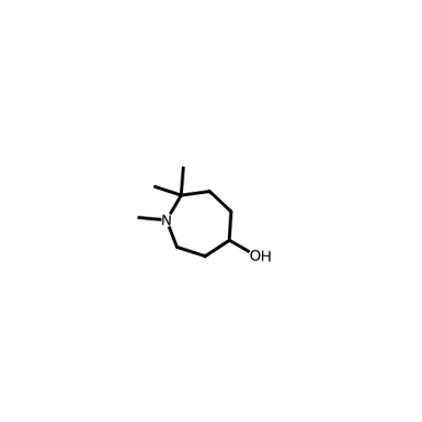 CN1CCC(O)CCC1(C)C